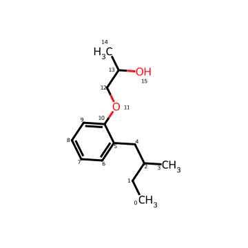 CCC(C)Cc1ccccc1OCC(C)O